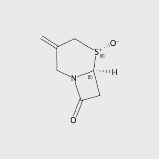 C=C1CN2C(=O)C[C@@H]2[S@@+]([O-])C1